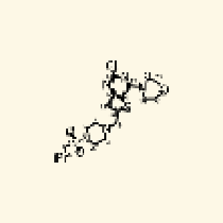 CC(C)CS(=O)(=O)N1CCN(Cc2cc3nc(Cl)nc(N4CCOCC4)c3s2)CC1